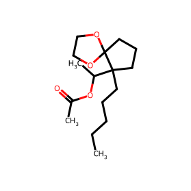 CCCCCC1(C(C)OC(C)=O)CCCC12OCCO2